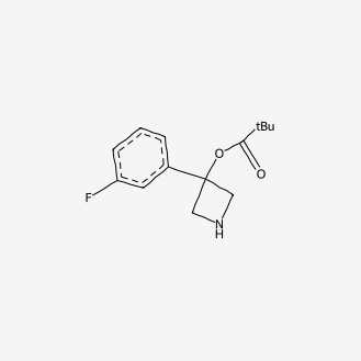 CC(C)(C)C(=O)OC1(c2cccc(F)c2)CNC1